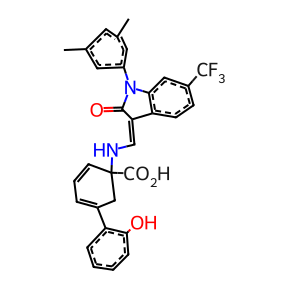 Cc1cc(C)cc(N2C(=O)C(=CNC3(C(=O)O)C=CC=C(c4ccccc4O)C3)c3ccc(C(F)(F)F)cc32)c1